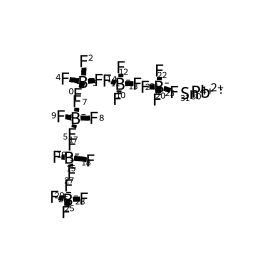 F[B-](F)(F)F.F[B-](F)(F)F.F[B-](F)(F)F.F[B-](F)(F)F.F[B-](F)(F)F.F[B-](F)(F)F.[Pb+2].[Sn+4]